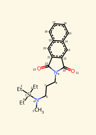 CC[Si](CC)(CC)N(C)CCCN1C(=O)c2cc3ccccc3cc2C1=O